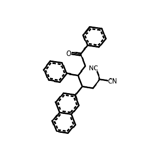 N#CC(C#N)CC(c1ccc2ccccc2c1)C(CC(=O)c1ccccc1)c1ccccc1